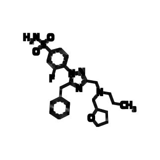 CCCN(Cc1nc(Cc2ccccc2)n(-c2ccc(S(N)(=O)=O)cc2F)n1)CC1CCCO1